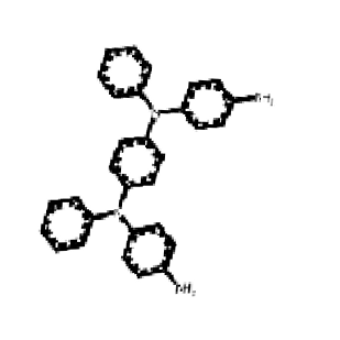 Nc1ccc(N(c2ccccc2)c2ccc(N(c3ccccc3)c3ccc(N)cc3)cc2)cc1